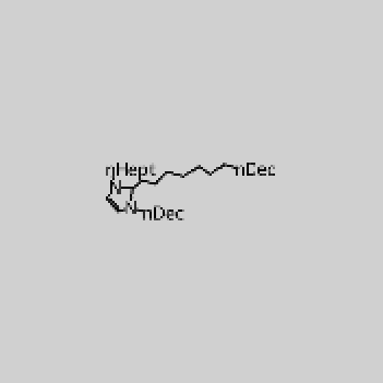 CCCCCCCCCCCCCCCCCC1N(CCCCCCC)C=CN1CCCCCCCCCC